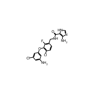 Nc1cc(Cl)cc(Oc2c(Cl)ccc(CNC(=O)c3[nH]cnc3N)c2F)c1